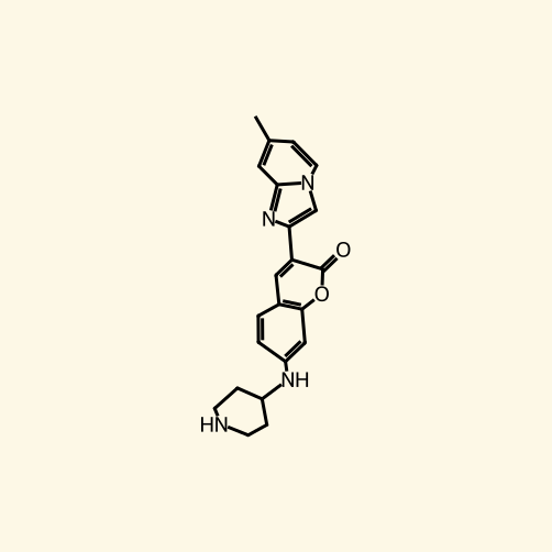 Cc1ccn2cc(-c3cc4ccc(NC5CCNCC5)cc4oc3=O)nc2c1